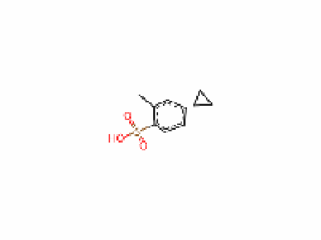 C1CC1.Cc1ccccc1S(=O)(=O)O